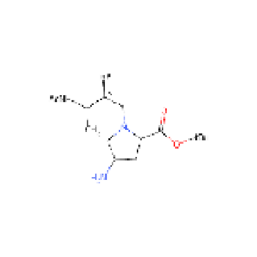 CCC[C@@H](CN1CC(N)CC1C(=O)OC(C)(C)C)C(C)NC(C)=O